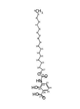 CCCCCCCCCCCCCCCCCCOC(=O)Nc1cccc(C(=O)O)c1O